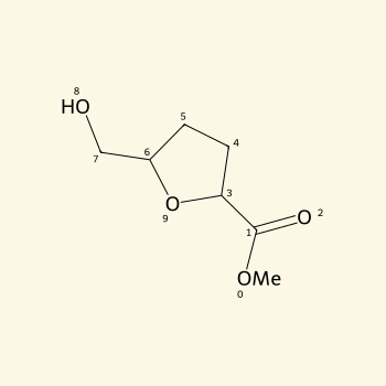 COC(=O)C1CCC(CO)O1